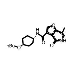 CCCCO[C@H]1CC[C@H](NC(=O)c2coc3c(C)c[nH]c(=O)c23)CC1